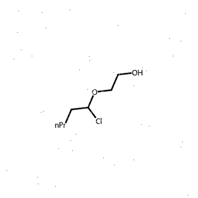 CCCCC(Cl)OCCO